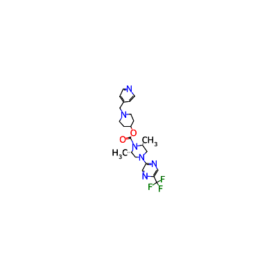 C[C@@H]1CN(c2cnc(C(F)(F)F)cn2)C[C@H](C)N1C(=O)OC1CCN(Cc2ccncc2)CC1